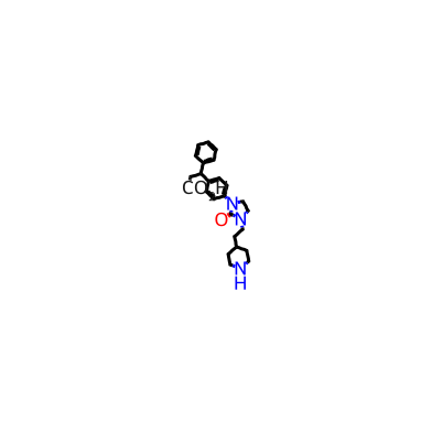 O=C(O)CC(c1ccccc1)c1ccc(N2CCN(CCC3CCNCC3)C2=O)cc1